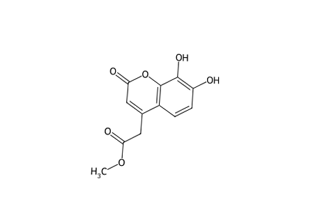 COC(=O)Cc1cc(=O)oc2c(O)c(O)ccc12